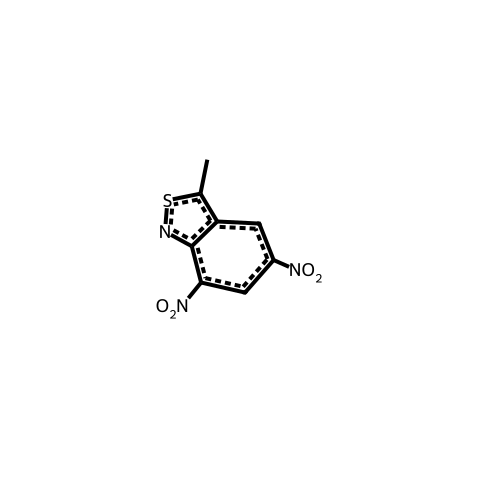 Cc1snc2c([N+](=O)[O-])cc([N+](=O)[O-])cc12